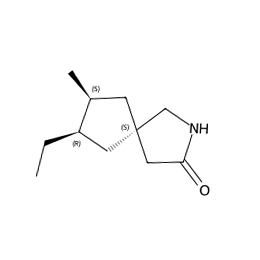 CC[C@@H]1C[C@@]2(CNC(=O)C2)C[C@@H]1C